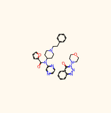 O=C(c1ccco1)N(c1cnccn1)C1CCN(CCc2ccccc2)CC1.O=c1c2ccccc2nnn1N1CCOCC1